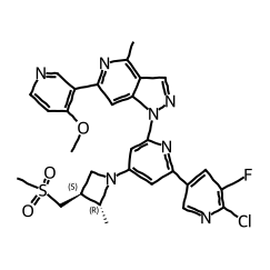 COc1ccncc1-c1cc2c(cnn2-c2cc(N3C[C@H](CS(C)(=O)=O)[C@H]3C)cc(-c3cnc(Cl)c(F)c3)n2)c(C)n1